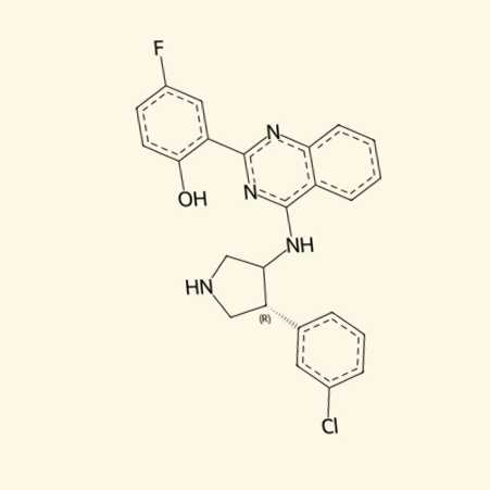 Oc1ccc(F)cc1-c1nc(NC2CNC[C@H]2c2cccc(Cl)c2)c2ccccc2n1